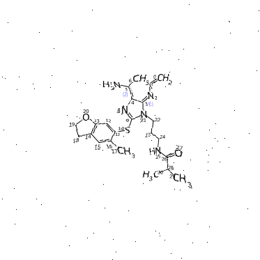 C=C/N=C1\C(=C(/C)N)N=C(Sc2cc3c(cc2C)CCO3)N1CCCNC(=O)C(C)C